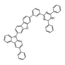 c1ccc(C2=NC(c3cccc(-c4ccc5c(c4)oc4cc(-n6c7ccccc7c7cc(-c8ccccc8)ccc76)ccc45)c3)=NC(c3ccccc3)N2)cc1